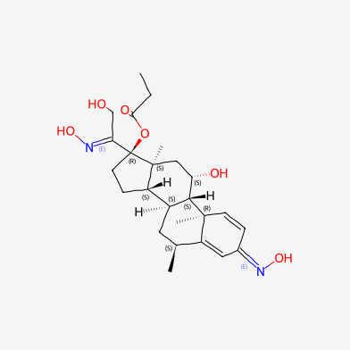 CCC(=O)O[C@]1(/C(CO)=N/O)CC[C@H]2[C@@H]3C[C@H](C)C4=C/C(=N/O)C=C[C@]4(C)[C@H]3[C@@H](O)C[C@@]21C